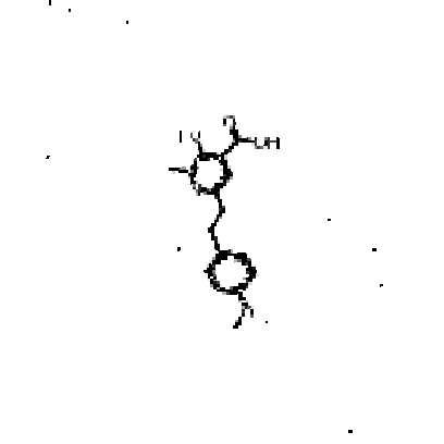 COc1ccc(CCc2cc(C(=O)O)c(O)c(C)n2)cc1